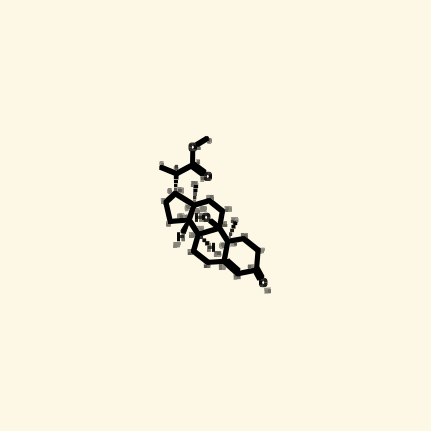 COC(=O)C(C)[C@H]1CC[C@H]2[C@@H]3CCC4=CC(=O)CC[C@]4(C)C3(O)CC[C@]12C